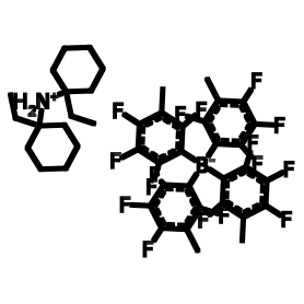 CCC1([NH2+]C2(CC)CCCCC2)CCCCC1.Cc1c(F)c(F)c(F)c([B-](c2c(F)c(C)c(F)c(F)c2F)(c2c(F)c(C)c(F)c(F)c2F)c2c(F)c(C)c(F)c(F)c2F)c1F